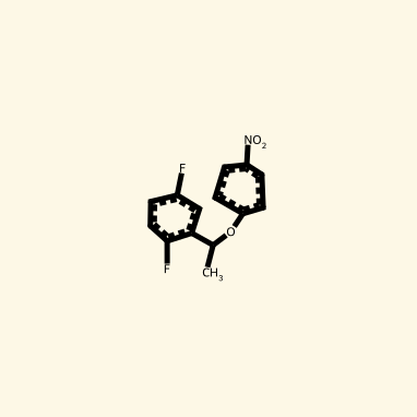 CC(Oc1ccc([N+](=O)[O-])cc1)c1cc(F)ccc1F